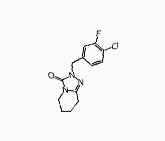 O=c1n(Cc2ccc(Cl)c(F)c2)nc2n1CCCC2